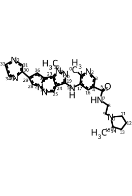 Cc1ncc(C(=O)NCCN2CCC[C@@H]2C)cc1Nc1nn(C)c2c1cnn1cc(-c3cnccn3)cc21